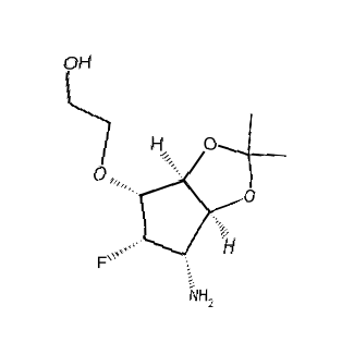 CC1(C)O[C@H]2[C@@H](O1)[C@H](N)[C@H](F)[C@@H]2OCCO